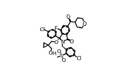 CS(=O)(=O)c1cc(Cl)ccc1CN1C(=O)c2cc(C(=O)C3CCOCC3)cc(F)c2[C@]1(OCC1(CO)CC1)c1ccc(Cl)cc1